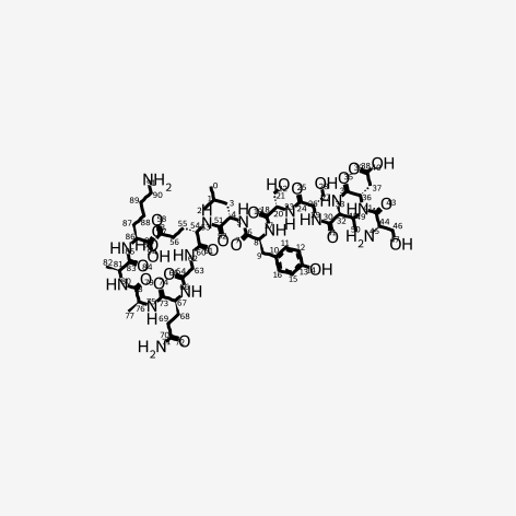 CC(C)C[C@H](NC(=O)[C@H](Cc1ccc(O)cc1)NC(=O)[C@H](CO)NC(=O)[C@H](CO)NC(=O)[C@@H](NC(=O)[C@H](CC(=O)O)NC(=O)[C@@H](N)CO)C(C)C)C(=O)N[C@@H](CCC(=O)O)C(=O)NCC(=O)N[C@@H](CCC(N)=O)C(=O)N[C@@H](C)C(=O)N[C@@H](C)C(=O)N[C@@H](CCCCN)C(=O)O